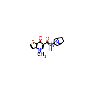 CN1C2CCC1CC(NC(=O)c1cn(C)c3ccsc3c1=O)C2